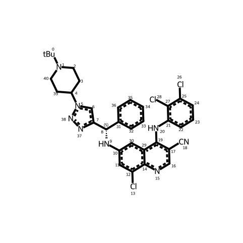 CC(C)(C)N1CCC(n2cc([C@@H](Nc3cc(Cl)c4ncc(C#N)c(Nc5cccc(Cl)c5Cl)c4c3)c3ccccc3)nn2)CC1